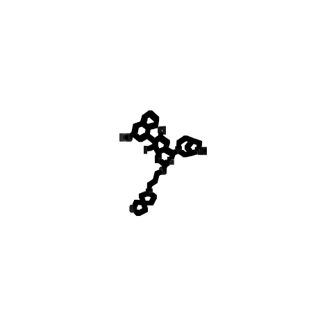 Oc1cc(-c2c(Cl)cc3c(N4CCC5CNC(C5)C4)nc(OCCCN4CCC5(CCOC5)C4)nc3c2F)c2ccccc2c1